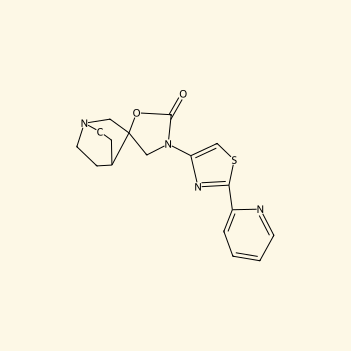 O=C1OC2(CN3CCC2CC3)CN1c1csc(-c2ccccn2)n1